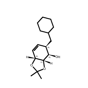 CC1(C)O[C@H]2[C@H](O)[C@H](CC3CCCCC3)C=C[C@H]2O1